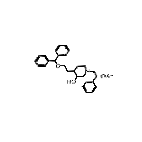 CC(=O)O[C@@H](CN1CCC(CCOC(c2ccccc2)c2ccccc2)C(O)C1)c1ccccc1